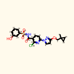 CC1(COc2ccn(-c3ccc(C(=O)NS(=O)(=O)c4cccc(O)c4)c(Cl)n3)n2)CC1